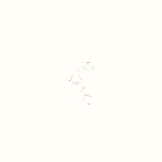 Cc1cccc(Nc2cc(Cl)nc(SCC(=O)NN)n2)c1C